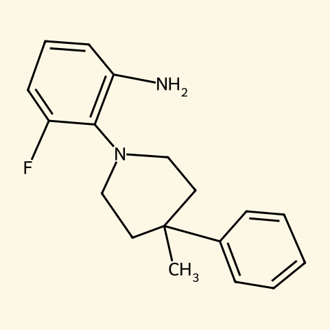 CC1(c2ccccc2)CCN(c2c(N)cccc2F)CC1